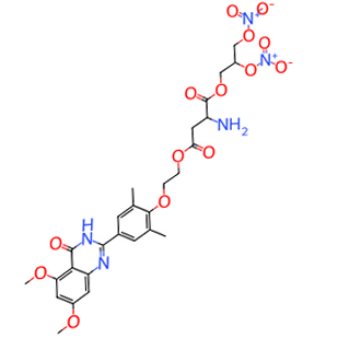 COc1cc(OC)c2c(=O)[nH]c(-c3cc(C)c(OCCOC(=O)CC(N)C(=O)OCC(CO[N+](=O)[O-])O[N+](=O)[O-])c(C)c3)nc2c1